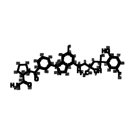 Cc1cc(NC[C@](O)(CC(C)(C)c2cc(F)ccc2O)C(F)(F)F)c2cnn(-c3cccc(C(=O)N4CCC[C@@H]4C(N)=O)c3)c2c1